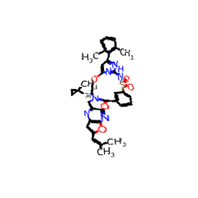 CC(C)=Cc1cc2nc(CN3C(=O)c4cccc(c4)S(=O)(=O)Nc4nc(cc(-c5c(C)cccc5C)n4)OC[C@H]3CC3(C)CC3)cnc2o1